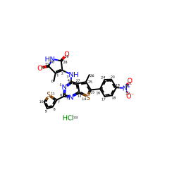 CC1=C(Nc2nc(-c3cccs3)nc3sc(-c4ccc([N+](=O)[O-])cc4)c(C)c23)C(=O)NC1=O.Cl